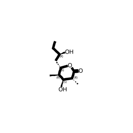 CC[C@@H](O)C[C@@H]1OC(=O)[C@H](C)[C@@H](O)[C@H]1C